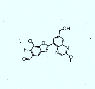 COc1cnc2c(-c3cc4cc(C=O)c(F)c(Cl)c4o3)cc(CO)cc2n1